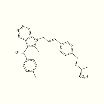 Cc1ccc(C(=O)c2c(C)n(C/C=C/c3ccc(CO[C@@H](C)C(=O)O)cc3)c3cnncc23)cc1